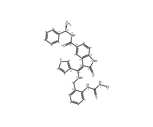 CCNC(=S)Nc1ccccc1CN/C(=C1\C(=O)Nc2ccc(C(=O)N[C@H](C)c3ccccc3)cc21)c1ccsc1